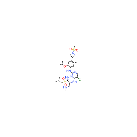 CN/C=C(/Nc1nc(Nc2cc(C)c(C3CN(S(C)(=O)=O)C3)cc2OC(C)C)ncc1Cl)C(=N)S(=O)(=O)CC(C)C